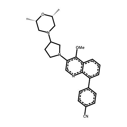 COc1c(N2CCC(N3C[C@@H](C)O[C@@H](C)C3)C2)cnc2c(-c3ccc(C#N)cc3)cccc12